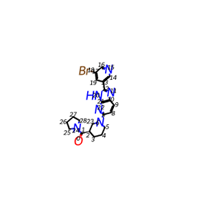 O=C([C@@H]1CCCN(c2ccc3nc(-c4cncc(Br)c4)[nH]c3n2)C1)N1CCCC1